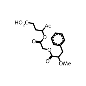 COC(Cc1ccccc1)C(=O)OCC(=O)OC(CCC(=O)O)C(C)=O